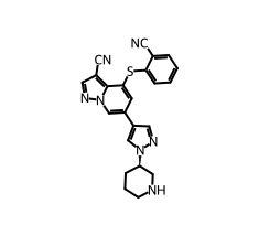 N#Cc1ccccc1Sc1cc(-c2cnn([C@@H]3CCCNC3)c2)cn2ncc(C#N)c12